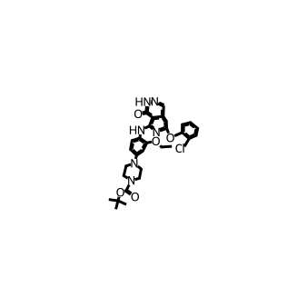 CCOc1cc(N2CCN(C(=O)OC(C)(C)C)CC2)ccc1Nc1nc(Oc2ccccc2Cl)cc2cn[nH]c(=O)c12